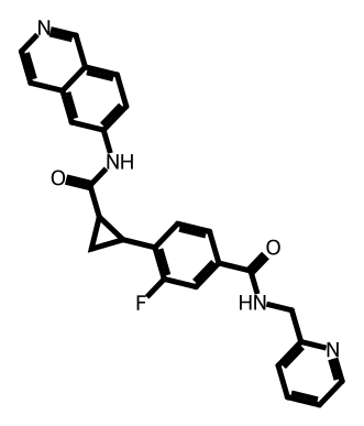 O=C(NCc1ccccn1)c1ccc(C2CC2C(=O)Nc2ccc3cnccc3c2)c(F)c1